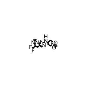 CS(=O)(=O)N1CCC(Nc2ncc3cc(C(F)F)c4nccn4c3n2)CC1